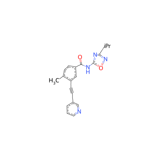 Cc1ccc(C(=O)Nc2nc(C(C)C)no2)cc1C#Cc1cccnc1